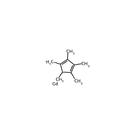 C[C]1C(C)=C(C)C(C)=C1C.[Gd]